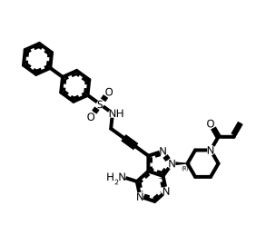 C=CC(=O)N1CCC[C@@H](n2nc(C#CCNS(=O)(=O)c3ccc(-c4ccccc4)cc3)c3c(N)ncnc32)C1